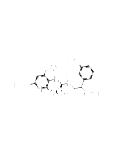 CCCCC(CNC(=O)Nc1c(SC)cc(C)nc1SC)c1cccc(C)c1